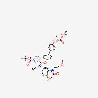 CCOC(=O)C(C)(C)Oc1ccc(-c2cccc([C@H]3CCN(C(=O)OC(C)(C)C)C[C@@H]3C(=O)N(c3ccc4c(c3)N(CCCOC)C(=O)CO4)C3CC3)c2)cc1